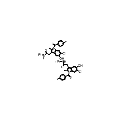 CCCNC(=O)Cc1c(C)n(C(=S)c2ccc(C)cc2)c2cc(Cl)c(O)cc12.Cc1ccc(C(=S)n2c(C)c(CC(=O)NC(C)C)c3cc(O)c(Cl)cc32)cc1